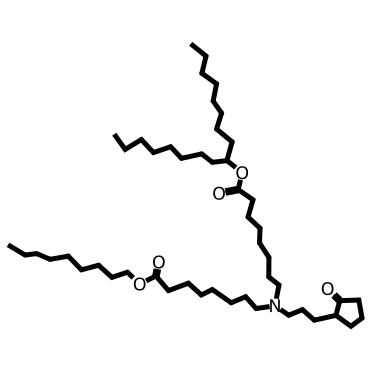 CCCCCCCCCOC(=O)CCCCCCCN(CCCCCCCC(=O)OC(CCCCCCCC)CCCCCCCC)CCCC1CCCC1=O